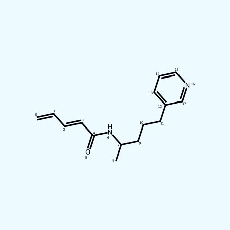 C=CC=CC(=O)NC(C)CCCc1cccnc1